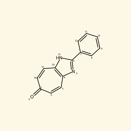 O=c1ccc2nc(-c3ccccc3)[nH]c2cc1